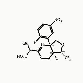 CC(C)(C)N(C(=O)O)C1=N[C@@]2(c3cc([N+](=O)[O-])ccc3F)CO[C@H](C(F)(F)F)[C@H]2CS1